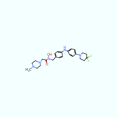 CN1CCN(CC(=O)N(O)Cc2ccc(Nc3ccc(N4CCC(F)(F)CC4)cc3)cc2)CC1